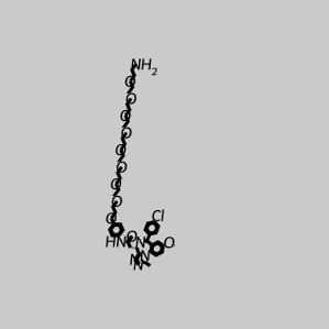 COc1ccc2c(c1)C(c1ccc(Cl)cc1)=N[C@@H](CC(=O)Nc1ccc(OCCOCCOCCOCCOCCOCCOCCOCCOCCN)cc1)c1nnc(C)n1-2